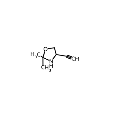 C#CC1COC(C)(C)N1